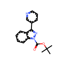 CC(C)(C)OC(=O)n1nc(-c2cccnc2)c2ccccc21